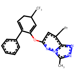 Cc1nnc2c(C(C)C)cc(OC3=CC(C(F)(F)F)CC=C3c3ccccc3)nn12